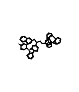 FC1=CCC(n2c3ccccc3c3ccc(C(CCc4ccc5c(c4)-c4c6cccc4-c4cccc-5c4C4=C6C=CCC4)Cc4ccc5ccccc5c4)cc32)C=C1